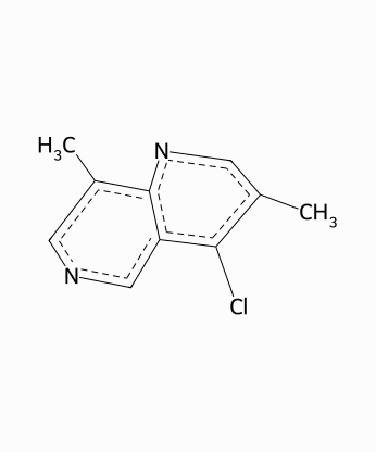 Cc1cnc2c(C)cncc2c1Cl